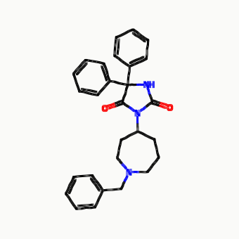 O=C1NC(c2ccccc2)(c2ccccc2)C(=O)N1C1CCCN(Cc2ccccc2)CC1